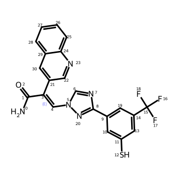 NC(=O)/C(=C/n1cnc(-c2cc(S)cc(C(F)(F)F)c2)n1)c1cnc2ccccc2c1